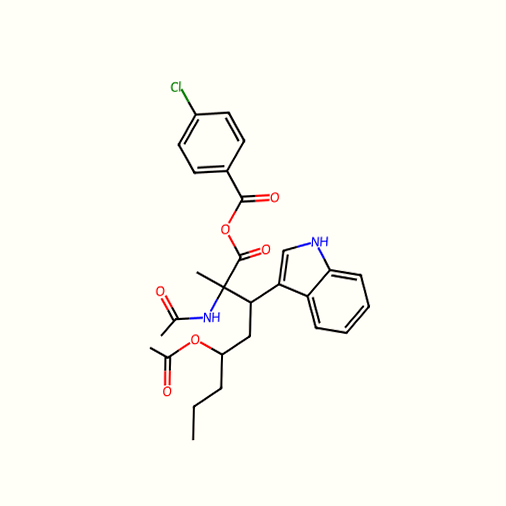 CCCC(CC(c1c[nH]c2ccccc12)C(C)(NC(C)=O)C(=O)OC(=O)c1ccc(Cl)cc1)OC(C)=O